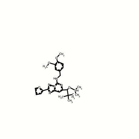 COc1ccc(CNc2nc(C(O[SiH](C)C)C(C)(C)C)cc3nc(-c4ccco4)nn23)cc1OC